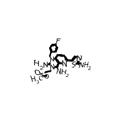 CS(=O)(=O)CCN1C(N)c2nc(-c3cnc(N)s3)ccc2N(Cc2ccc(F)cc2)C1N